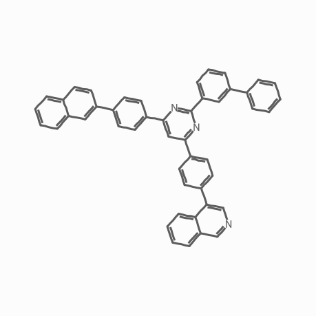 c1ccc(-c2cccc(-c3nc(-c4ccc(-c5ccc6ccccc6c5)cc4)cc(-c4ccc(-c5cncc6ccccc56)cc4)n3)c2)cc1